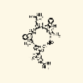 CC(=O)N[C@@H](CCCNC(=N)N)C(=O)N[C@H]1CCCNC(=O)CC[C@@H](C(N)=O)NC(=O)[C@H](Cc2c[nH]c3ccccc23)NC(=O)[C@H](CCCNC(=N)N)NC(=O)C(Cc2ccccc2)NC(=O)[C@H](C)NC1=O